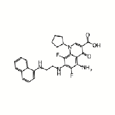 Nc1c(F)c(NCCNc2cccc3ccccc23)c(F)c2c1c(=O)c(C(=O)O)cn2C1CCCC1